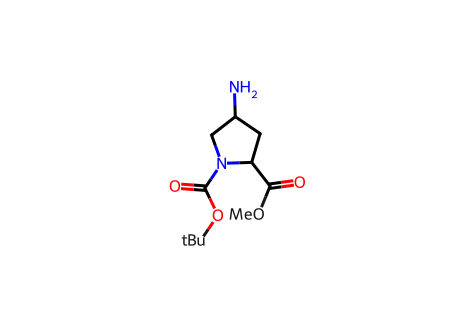 COC(=O)C1CC(N)CN1C(=O)OC(C)(C)C